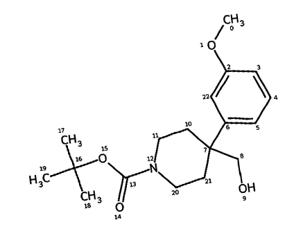 COc1cccc(C2(CO)CCN(C(=O)OC(C)(C)C)CC2)c1